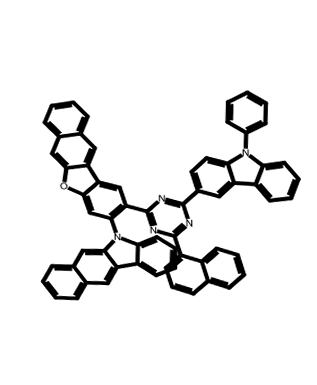 c1ccc(-n2c3ccccc3c3cc(-c4nc(-c5cc6c(cc5-n5c7ccccc7c7cc8ccccc8cc75)oc5cc7ccccc7cc56)nc(-c5cccc6ccccc56)n4)ccc32)cc1